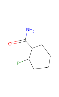 NC(=O)C1CCCCC1F